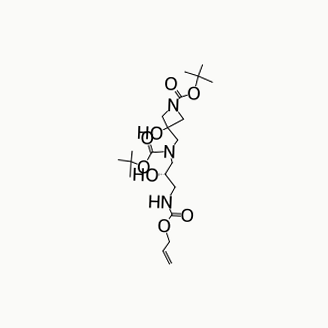 C=CCOC(=O)NC[C@H](O)CN(CC1(O)CN(C(=O)OC(C)(C)C)C1)C(=O)OC(C)(C)C